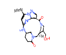 CNc1cc2nc3c(cnn13)C(=O)N1CC(CO)[C@@H](CN3CC(CCC3=O)N2)C1